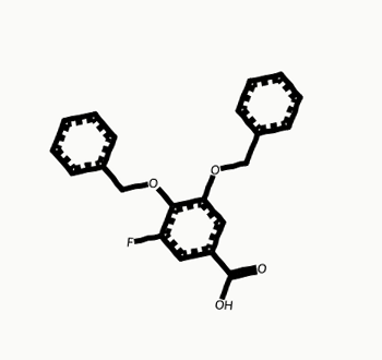 O=C(O)c1cc(F)c(OCc2ccccc2)c(OCc2ccccc2)c1